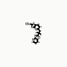 CC(C)(C)c1nc2nc(CC(C)(C)c3nc4ncccc4o3)ccc2s1